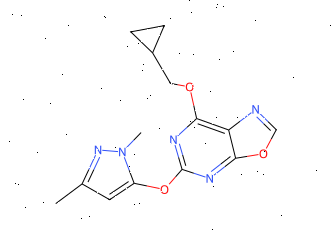 Cc1cc(Oc2nc(OCC3CC3)c3ncoc3n2)n(C)n1